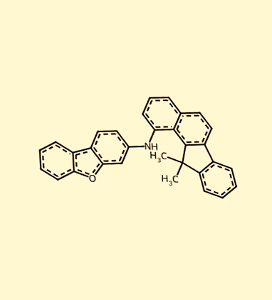 CC1(C)c2ccccc2-c2ccc3cccc(Nc4ccc5c(c4)oc4ccccc45)c3c21